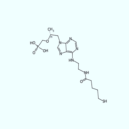 C[C@H](Cn1cnc2c(NCCNC(=O)CCCCS)ncnc21)OCP(=O)(O)O